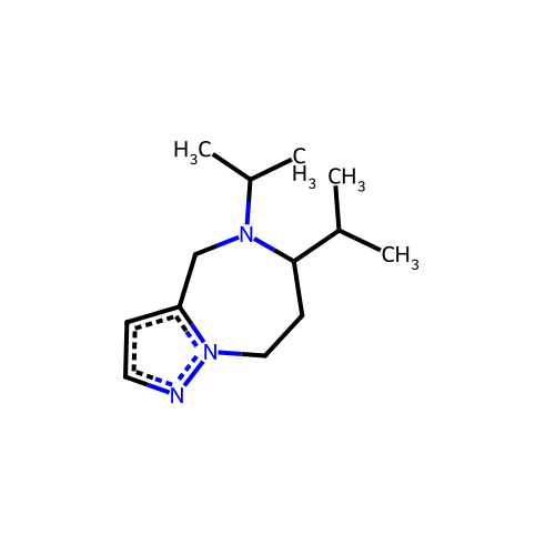 CC(C)C1CCn2nccc2CN1C(C)C